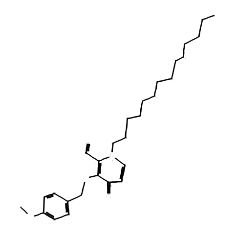 CCCCCCCCCCCCCCn1ccc(=O)c(OCc2ccc(OC)cc2)c1C=O